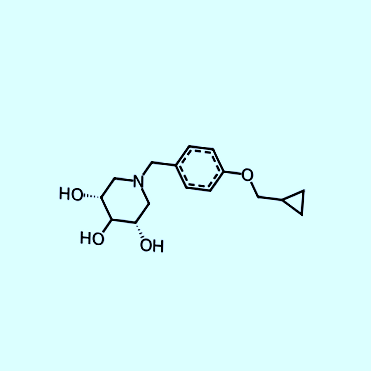 OC1[C@H](O)CN(Cc2ccc(OCC3CC3)cc2)C[C@@H]1O